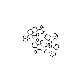 O=C1c2cccc(OP(Oc3ccccc3C3OCCO3)Oc3ccccc3C3OCCO3)c2C(=O)c2c(OP(Oc3ccccc3C3OCCO3)Oc3ccccc3C3OCCO3)cccc21